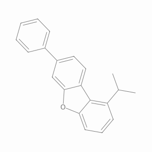 CC(C)c1cccc2oc3cc(-c4ccccc4)ccc3c12